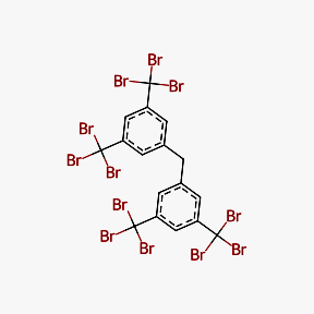 BrC(Br)(Br)c1cc(Cc2cc(C(Br)(Br)Br)cc(C(Br)(Br)Br)c2)cc(C(Br)(Br)Br)c1